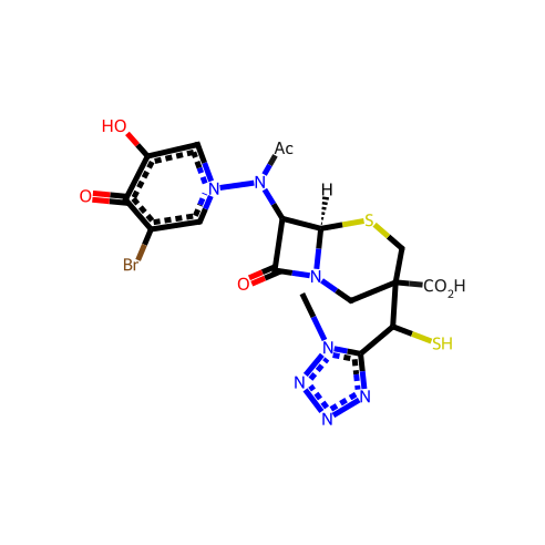 CC(=O)N(C1C(=O)N2CC(C(=O)O)(C(S)c3nnnn3C)CS[C@H]12)n1cc(O)c(=O)c(Br)c1